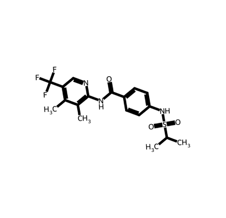 Cc1c(C(F)(F)F)cnc(NC(=O)c2ccc(NS(=O)(=O)C(C)C)cc2)c1C